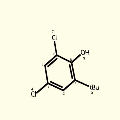 CC(C)(C)c1cc(Cl)cc(Cl)c1O